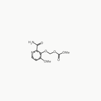 COC(=O)OCOc1c(OC)ccnc1C(N)=O